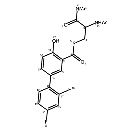 CNC(=O)C(CSC(=O)c1cc(-c2ccc(F)cc2F)ccc1O)NC(C)=O